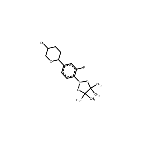 CCC1CCC(c2ccc(B3OC(C)(C)C(C)(C)O3)c(F)c2)OC1